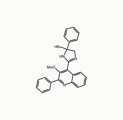 CCCCC1(c2ccccc2)CN=C(c2c(OC)c(-c3ccccc3)nc3ccccc23)N1